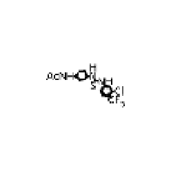 CC(=O)Nc1ccc(NC(=S)Nc2ccc(C(F)(F)F)c(Cl)c2)cc1